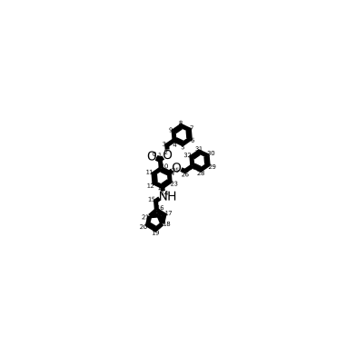 O=C(OCc1ccccc1)c1ccc(NCC2CC3C=CC2C3)cc1OCc1ccccc1